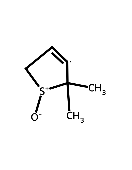 CC1(C)[C]=CC[S+]1[O-]